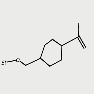 C=C(C)C1CCC(COCC)CC1